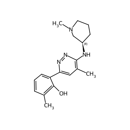 Cc1cc(-c2cccc(C)c2O)nnc1N[C@@H]1CCCN(C)C1